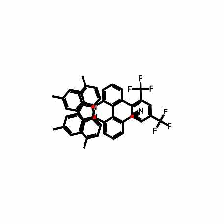 Cc1ccc2c(c1)c1cc(C)ccc1n2-c1cccc(C#N)c1-c1c(-c2ccc(C(F)(F)F)cc2C(F)(F)F)cccc1-n1c2ccc(C)cc2c2cc(C)ccc21